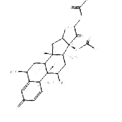 CCC(=O)OCC(=O)[C@@]1(OC(=O)CC)C(C)C[C@H]2[C@@H]3CC(C)C4=CC(=O)C=C[C@]4(C)[C@@]3(F)C(O)C[C@@]21C